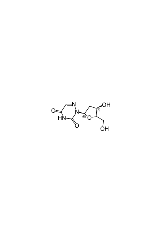 O=c1cnn([C@H]2C[C@@H](O)C(CO)O2)c(=O)[nH]1